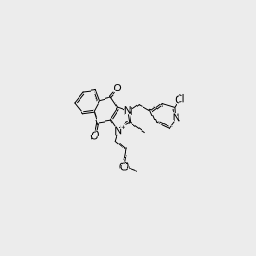 COCC[n+]1c2c(n(Cc3ccnc(Cl)c3)c1C)C(=O)c1ccccc1C2=O